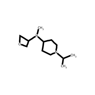 CC(C)N1CCC(N(C)C2COC2)CC1